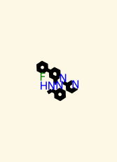 CC(Nc1nc(-c2cccnc2)nc2ccc(-c3ccccc3F)cc12)c1ccccc1